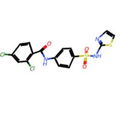 O=C(Nc1ccc(S(=O)(=O)Nc2nccs2)cc1)c1ccc(Cl)cc1Cl